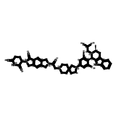 C[C@@H]1Cc2c([nH]c3ccccc23)[C@@H](c2c(F)cc(N3CCC4(CCN(CC(=O)N5Cc6cc7c(cc6C5)C(=O)N(C5CCC(=O)NC5=O)C7)CC4)C3)cc2F)N1CC(F)F